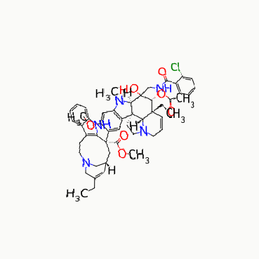 CCC1=C[C@@H]2CN(CCc3c([nH]c4ccccc34)[C@@](C(=O)OC)(c3cc4c(cc3OC)N(C)[C@H]3C(O)(CNC(=O)c5ccccc5Cl)[C@H](OC(C)=O)[C@]5(CC)C=CCN6CC[C@]43[C@@H]65)C2)C1